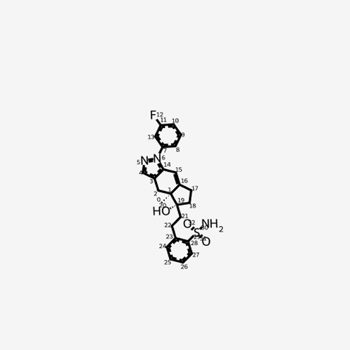 C[C@]12Cc3cnn(-c4cccc(F)c4)c3C=C1CC[C@@]2(O)CCc1ccccc1S(N)(=O)=O